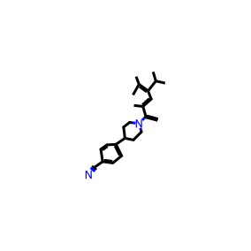 C=C(/C(C)=C/C(=C(C)C)C(C)C)N1CCC(c2ccc(C#N)cc2)CC1